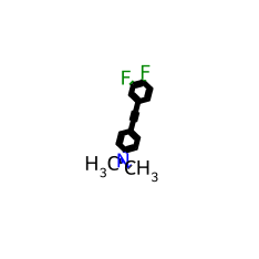 CN(C)c1ccc(C#Cc2ccc(F)c(F)c2)cc1